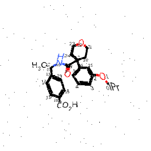 CC(C)Oc1cccc(C2(C(=O)N[C@@H](C)c3ccc(C(=O)O)cc3)CCOCC2)c1